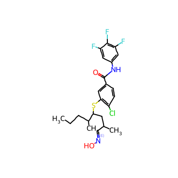 CCCC(C)C(CC(C)/C=N/O)Sc1cc(C(=O)Nc2cc(F)c(F)c(F)c2)ccc1Cl